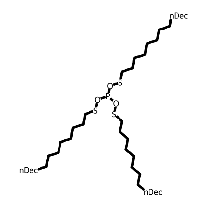 CCCCCCCCCCCCCCCCCCSOP(OSCCCCCCCCCCCCCCCCCC)OSCCCCCCCCCCCCCCCCCC